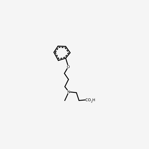 CN(CCCOc1ccccc1)CCC(=O)O